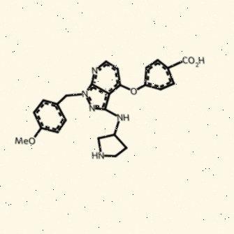 COc1ccc(Cn2nc(NC3CCNC3)c3c(Oc4ccc(C(=O)O)cc4)ccnc32)cc1